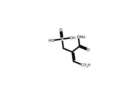 COC(=O)/C(=C\C(=O)O)CP(=O)(O)O